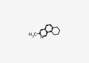 Cc1cc2ccc3c(c2cn1)CCCC3